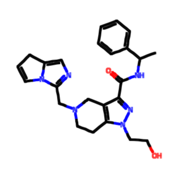 CC(NC(=O)c1nn(CCO)c2c1CN(Cc1ncc3n1C=CC3)CC2)c1ccccc1